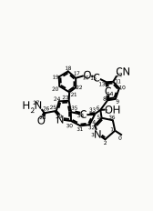 CC1C=NC=C(C2(O)c3ccc(C#N)c(c3)COc3cccc(c3)-c3cc(C(N)=O)nc4ccc2cc34)C1